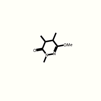 COC1=NN(C)C(=O)C(C)C1C